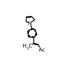 CC(=O)C=C(C)c1ccc(N2CC=CC2)cc1